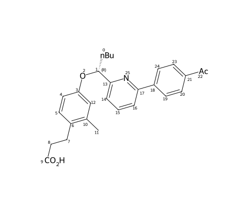 CCCC[C@@H](Oc1ccc(CCC(=O)O)c(C)c1)c1cccc(-c2ccc(C(C)=O)cc2)n1